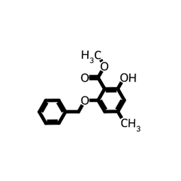 COC(=O)c1c(O)cc(C)cc1OCc1ccccc1